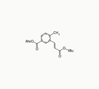 COC(=O)c1ccc(C)c(C=CC(=O)OC(C)(C)C)c1